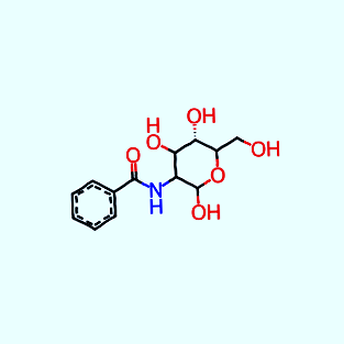 O=C(NC1C(O)OC(CO)[C@@H](O)C1O)c1ccccc1